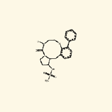 CN1CCOc2c(cccc2-c2ccccc2)CC2C(NS(C)(=O)=O)CCN2C1=O